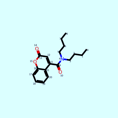 CCCCN(CCCC)C(=O)c1cc(=O)oc2ccccc12